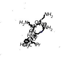 CC(C)C[C@H](NC(=O)[C@H](Cc1ccc(O)cc1)NC(=O)[C@@H]1C/C=C/C[C@H](N)C(=O)N[C@@H](CCCCCN)C(=O)N[C@@H](CCCCN)C(=O)N1)C(=O)O